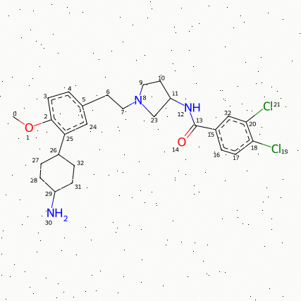 COc1ccc(CCN2CCC(NC(=O)c3ccc(Cl)c(Cl)c3)C2)cc1C1CCC(N)CC1